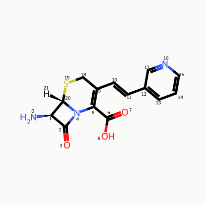 N[C@@H]1C(=O)N2C(C(=O)O)=C(C=Cc3cccnc3)CS[C@@H]12